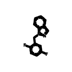 Fc1ccc(F)c(Cn2ncc3ccccc32)c1